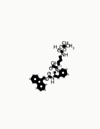 CC(C)(C)OC(=O)NCCCC[C@H](NC[C@@H](Cc1ccccc1)NC(=O)OCC1c2ccccc2-c2ccccc21)C(=O)O